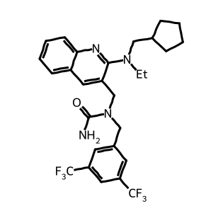 CCN(CC1CCCC1)c1nc2ccccc2cc1CN(Cc1cc(C(F)(F)F)cc(C(F)(F)F)c1)C(N)=O